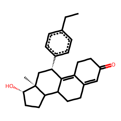 CCc1ccc([C@H]2C[C@@]3(C)C(CC[C@@H]3O)C3CCC4=CC(=O)CCC4=C32)cc1